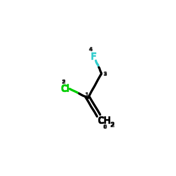 C=C(Cl)CF